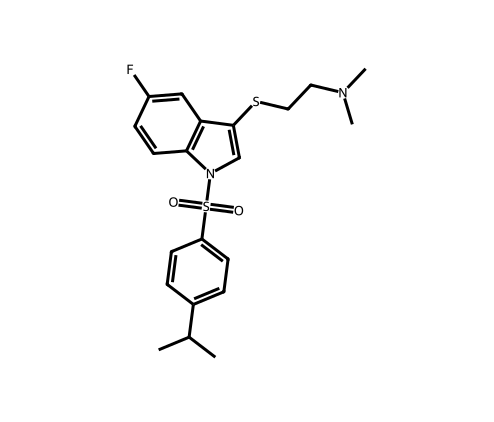 CC(C)c1ccc(S(=O)(=O)n2cc(SCCN(C)C)c3cc(F)ccc32)cc1